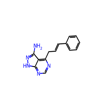 Nc1n[nH]c2ncnc(CC=Cc3ccccc3)c12